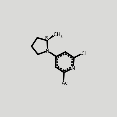 CC(=O)c1cc(N2CCC[C@H]2C)cc(Cl)n1